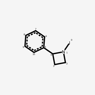 IN1CCC1c1ccccc1